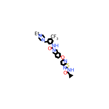 CCN1CCN(Cc2cc(NC(=O)N3Cc4ccc(Oc5ccc6nc(NC(=O)C7CC7)sc6n5)cc4C3)cc(C(F)(F)F)c2)CC1